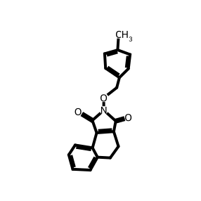 Cc1ccc(CON2C(=O)C3=C(C2=O)c2ccccc2CC3)cc1